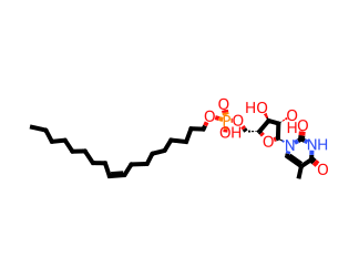 CCCCCCCC/C=C\CCCCCCCCOP(=O)(O)OC[C@H]1O[C@@H](n2cc(C)c(=O)[nH]c2=O)[C@@H](O)[C@@H]1O